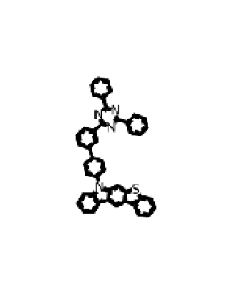 c1ccc(-c2nc(-c3ccccc3)nc(-c3cccc(-c4ccc(-n5c6ccccc6c6cc7c(cc65)sc5ccccc57)cc4)c3)n2)cc1